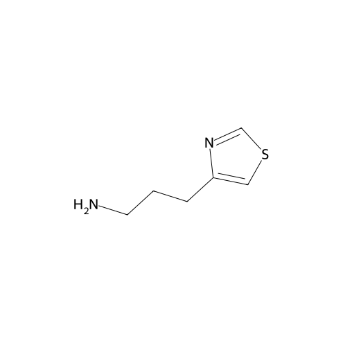 NCCCc1cscn1